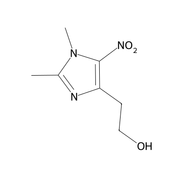 Cc1nc(CCO)c([N+](=O)[O-])n1C